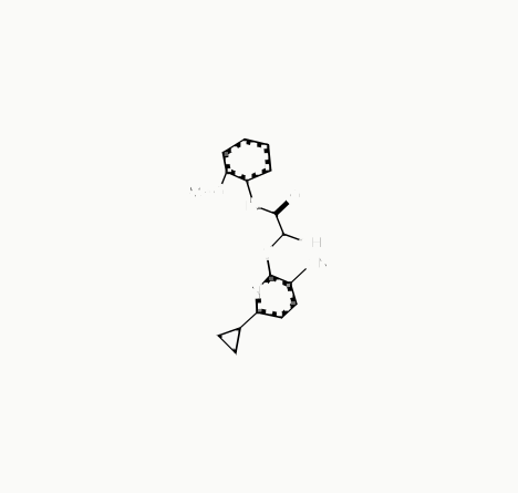 COc1ccccc1NC(=O)C(C)Sc1nc(C2CC2)ccc1C#N